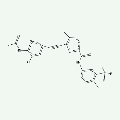 CC(=O)Nc1ncc(C#Cc2cc(C(=O)Nc3ccc(C)c(C(F)(F)F)c3)ccc2C)cc1Cl